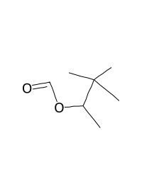 CC(OC=O)C(C)(C)C